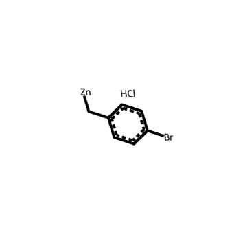 Cl.[Zn][CH2]c1ccc(Br)cc1